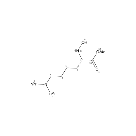 CCCN(CCC)CCCC[C@H](NO)C(=O)OC